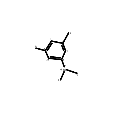 Cc1cc(C)cc([SiH](C)C)c1